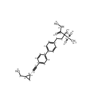 CC(CCc1ccc(-c2ccc(C#C[C@@H]3CC3CO)cc2)cc1)(C(=O)NO)S(C)(=O)=O